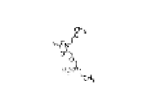 CCC[C@@H](N)COCC(=O)N(C)CCOC